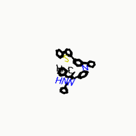 CCC1=C(c2cccc(-n3c4ccccc4c4cc(-c5cccc6c5sc5ccccc56)ccc43)c2)N=C(c2ccccc2)NC1c1ccccc1